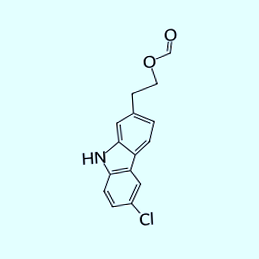 O=COCCc1ccc2c(c1)[nH]c1ccc(Cl)cc12